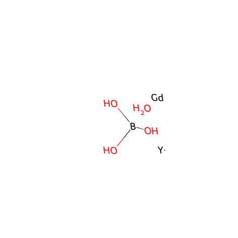 O.OB(O)O.[Gd].[Y]